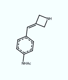 CC(=O)Nc1ccc(C=C2CNC2)cc1